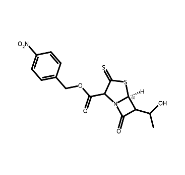 CC(O)C1C(=O)N2C(C(=O)OCc3ccc([N+](=O)[O-])cc3)C(=S)S[C@@H]12